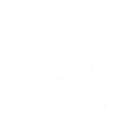 CC(C)Sc1nc(NCc2ccccc2Cl)c(N)c(N2CCC(F)(F)C2)n1